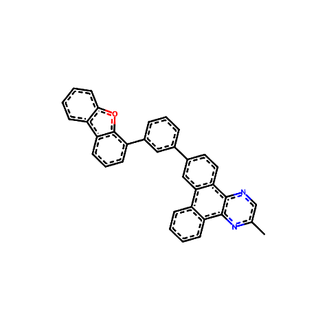 Cc1cnc2c3ccc(-c4cccc(-c5cccc6c5oc5ccccc56)c4)cc3c3ccccc3c2n1